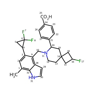 Cc1cc(C2CC2(F)F)c(CN2CCC3(CC(F)C3)CC2c2ccc(C(=O)O)cc2)c2cc[nH]c12